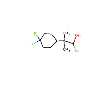 CC(C)(C(O)S)C1CCC(F)(F)CC1